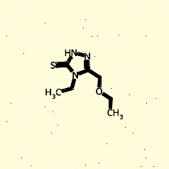 CCOCc1n[nH]c(=S)n1CC